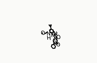 COCCNc1cc(C2CC2)cc2c1nc(C(=O)N1CCN(C3CCCCC3)C(=O)C1)n2C